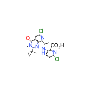 C[C@@H](Nc1ccc(Cl)nc1C(=O)O)c1nc(Cl)cc2c(=O)n(C)c(C3(C)CC3)nc12